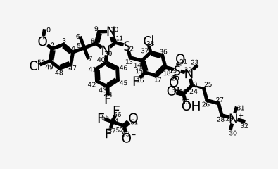 COc1cc(C(C)(C)c2cnc(SCc3c(F)cc(S(=O)(=O)N(C)[C@@H](CCCC[N+](C)(C)C)C(=O)O)cc3Cl)n2-c2ccc(F)cc2)ccc1Cl.O=C([O-])C(F)(F)F